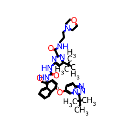 CCC(C)(C)c1nnc2ccc(O[C@@H]3C=C[C@](C=O)(NC(=O)Nc4cc(C(C)(C)C)nc(C(=O)NCCCN5CCOCC5)n4)c4ccccc43)cn12